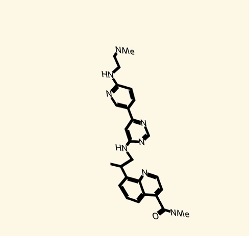 CNCCNc1ccc(-c2cc(NCC(C)c3cccc4c(C(=O)NC)ccnc34)ncn2)cn1